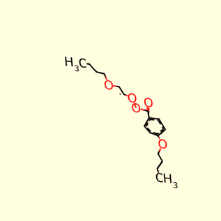 CCCCOC[CH]OOC(=O)c1ccc(OCCCC)cc1